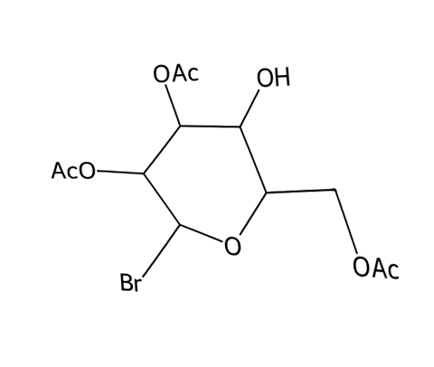 CC(=O)OCC1OC(Br)C(OC(C)=O)C(OC(C)=O)C1O